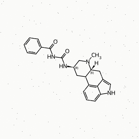 CN1C[C@H](NC(=O)NC(=O)c2ccccc2)CC2c3cccc4[nH]cc(c34)C[C@H]21